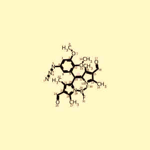 COc1cc(N=[N+]=[N-])cc(/C(=C2/N=C(C)C(C=O)=C2C)c2c(C)c(C=O)c(C)n2B(F)F)c1OC